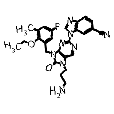 CCOc1c(C)cc(F)cc1Cn1c(=O)n(CCCN)c2cnc(-n3cnc4ccc(C#N)cc43)nc21